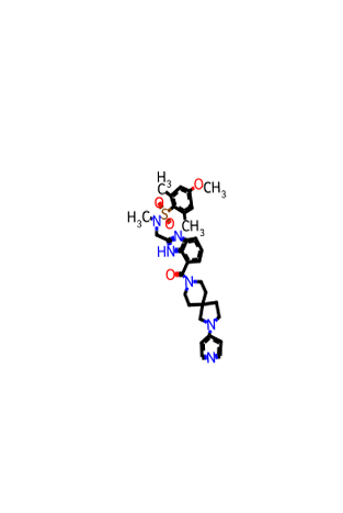 COc1cc(C)c(S(=O)(=O)N(C)Cc2nc3cccc(C(=O)N4CCC5(CC4)CCN(c4ccncc4)C5)c3[nH]2)c(C)c1